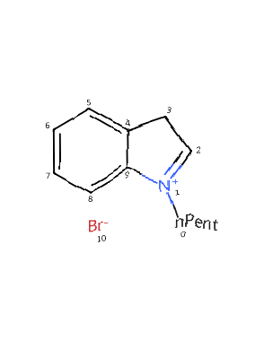 CCCCC[N+]1=CCc2ccccc21.[Br-]